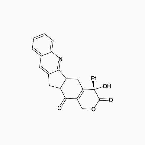 CC[C@@]1(O)C(=O)OCC2=C1CC1c3nc4ccccc4cc3CC1C2=O